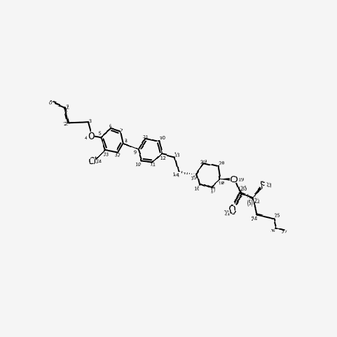 CCCCOc1ccc(-c2ccc(CC[C@H]3CC[C@H](OC(=O)[C@@H](F)CCCC)CC3)cc2)cc1Cl